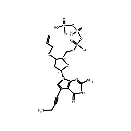 C=CCOC1C[C@H](n2cc(C#CCN)c3c(=O)[nH]c(N)nc32)O[C@@H]1COP(=O)(O)OP(=O)(O)OP(=O)(O)O